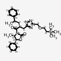 CC(C[C@@H](Cc1nnn(COCC[Si](C)(C)C)n1)C(=O)N1C(=O)O[C@@H](c2ccccc2)[C@H]1C)c1ccccc1